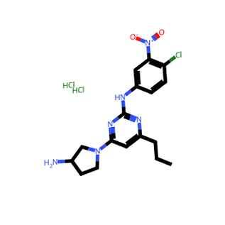 CCCc1cc(N2CCC(N)C2)nc(Nc2ccc(Cl)c([N+](=O)[O-])c2)n1.Cl.Cl